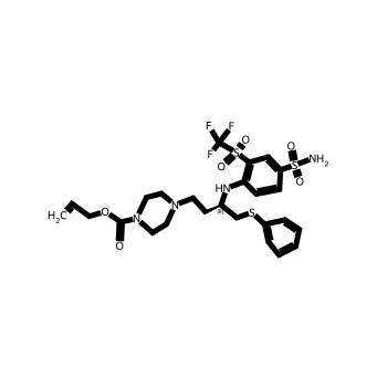 C=CCOC(=O)N1CCN(CC[C@H](CSc2ccccc2)Nc2ccc(S(N)(=O)=O)cc2S(=O)(=O)C(F)(F)F)CC1